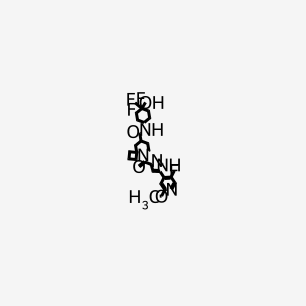 COc1cc(-c2cc(C(=O)N3CCC(C(=O)NC4CCC(O)(C(F)(F)F)CC4)CC34CCC4)n[nH]2)c(F)cn1